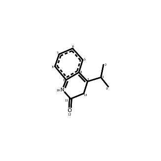 CC(C)C1=c2ccccc2=NC(=O)C1